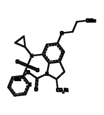 CCOC(=O)C1Cc2cc(OCCOC)cc(N(C3CC3)S(=O)(=O)c3ccccn3)c2N1C(=O)OC(C)(C)C